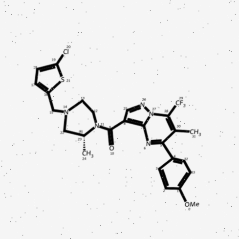 COc1ccc(-c2nc3c(C(=O)N4CCN(Cc5ccc(Cl)s5)C[C@H]4C)cnn3c(C(F)(F)F)c2C)cc1